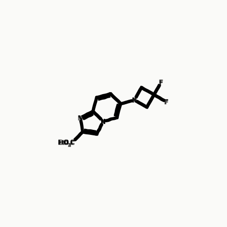 CCOC(=O)c1cn2cc(N3CC(F)(F)C3)ccc2n1